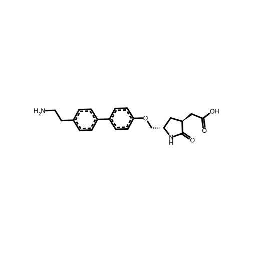 NCCc1ccc(-c2ccc(OC[C@@H]3C[C@@H](CC(=O)O)C(=O)N3)cc2)cc1